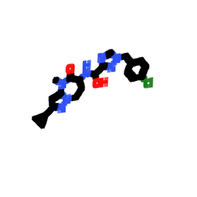 CN1C(=O)C(NC(O)c2ncn(Cc3ccc(Cl)cc3)n2)CCn2nc(C3CC3)cc21